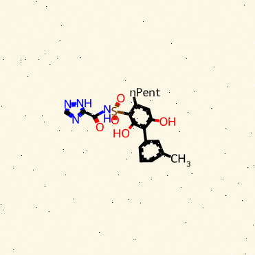 CCCCCc1cc(O)c(-c2cccc(C)c2)c(O)c1S(=O)(=O)NC(=O)c1ncn[nH]1